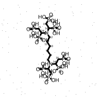 O=P(O)(O)CC(N(CCCCCCN(C(CP(=O)(O)O)P(=O)(O)O)C(CP(=O)(O)O)P(=O)(O)O)C(CP(=O)(O)O)P(=O)(O)O)P(=O)(O)O